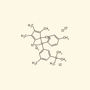 CC1=C(C)C(C)([Si](C)(c2ccc(C)cc2)c2cc(C)cc([Si](C)(C)C)c2)[C]([Ti+3])=C1C.[Cl-].[Cl-].[Cl-]